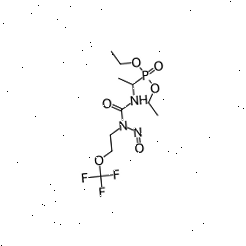 CCOP(=O)(OCC)C(C)NC(=O)N(CCOC(F)(F)F)N=O